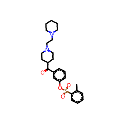 Cc1ccccc1S(=O)(=O)Oc1cccc(C(=O)C2CCN(CCN3CCCCC3)CC2)c1